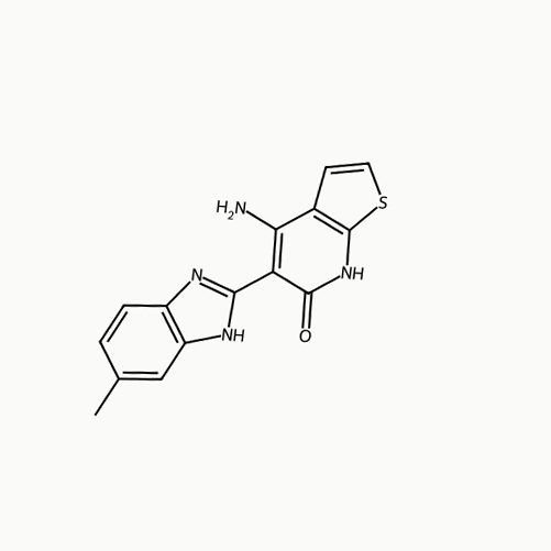 Cc1ccc2nc(-c3c(N)c4ccsc4[nH]c3=O)[nH]c2c1